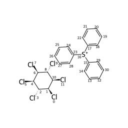 Cl[C@H]1[C@H](Cl)[C@@H](Cl)[C@@H](Cl)[C@H](Cl)[C@H]1Cl.c1ccc([S+](c2ccccc2)c2ccccc2)cc1